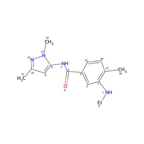 CCNc1cc(C(=O)Nc2cc(C)nn2C)ccc1C